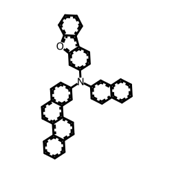 c1ccc2cc(N(c3ccc4c(c3)oc3ccccc34)c3ccc4ccc5c6ccccc6ccc5c4c3)ccc2c1